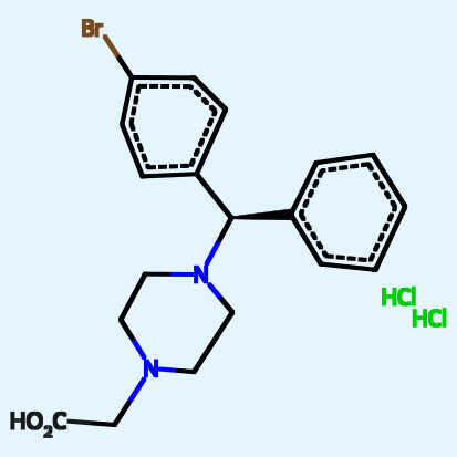 Cl.Cl.O=C(O)CN1CCN([C@H](c2ccccc2)c2ccc(Br)cc2)CC1